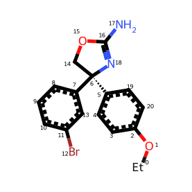 CCOc1ccc([C@]2(c3cccc(Br)c3)COC(N)=N2)cc1